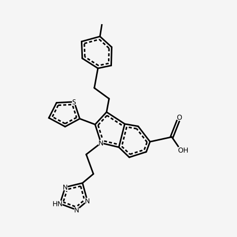 Cc1ccc(CCc2c(-c3cccs3)n(CCc3nn[nH]n3)c3ccc(C(=O)O)cc23)cc1